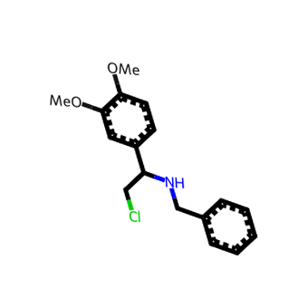 COc1ccc(C(CCl)NCc2ccccc2)cc1OC